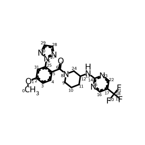 COc1ccc(C(=O)N2CCCC(Nc3ncc(C(F)(F)F)cn3)C2)c(-n2nccn2)c1